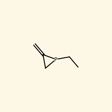 C=C1CP1CC